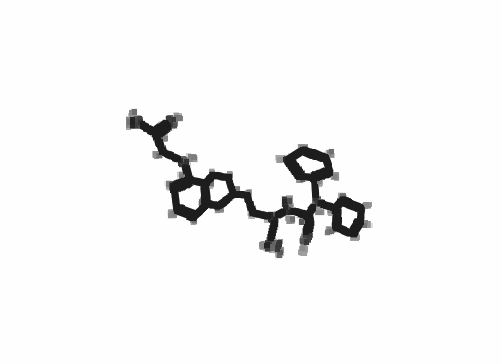 CN(CCC1CCc2c(cccc2OCC(=O)O)C1)NC(=O)N(c1ccccc1)c1ccccc1